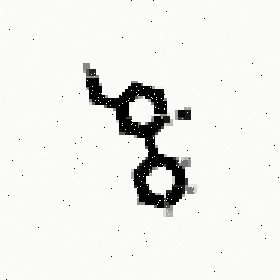 Cl.O=Cc1ccnc(-c2ccnnn2)c1